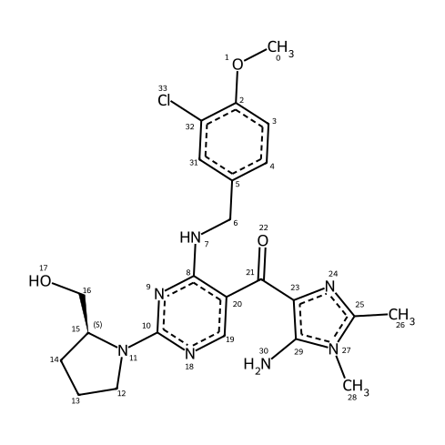 COc1ccc(CNc2nc(N3CCC[C@H]3CO)ncc2C(=O)c2nc(C)n(C)c2N)cc1Cl